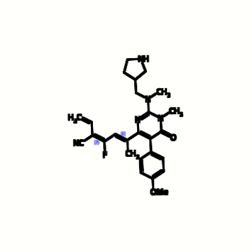 C=C/C(C#N)=C(F)\C=C(/C)c1nc(N(C)CC2CCNC2)n(C)c(=O)c1-c1ccc(OC)cc1